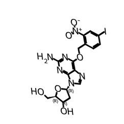 Nc1nc(OCc2ccc(I)cc2[N+](=O)[O-])c2ncn([C@H]3C[C@@H](O)[C@@H](CO)O3)c2n1